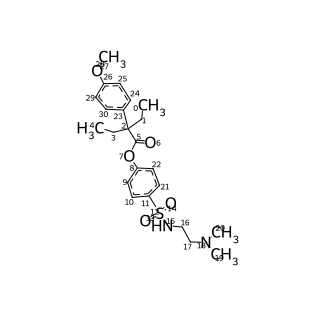 CCC(CC)(C(=O)Oc1ccc(S(=O)(=O)NCCN(C)C)cc1)c1ccc(OC)cc1